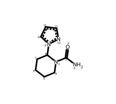 NC(=O)N1CCCCC1n1cccn1